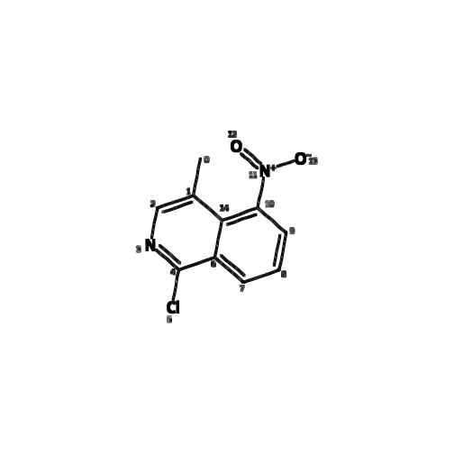 Cc1cnc(Cl)c2cccc([N+](=O)[O-])c12